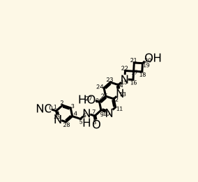 N#Cc1ccc(CNC(=O)c2ncc3nc(N4CC5(CC(O)C5)C4)ccc3c2O)cn1